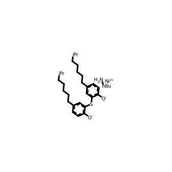 CC(C)CCCCCc1ccc([O-])c(Sc2cc(CCCCCC(C)C)ccc2[O-])c1.CCCCN.[Ni+2]